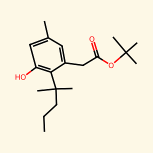 CCCC(C)(C)c1c(O)cc(C)cc1CC(=O)OC(C)(C)C